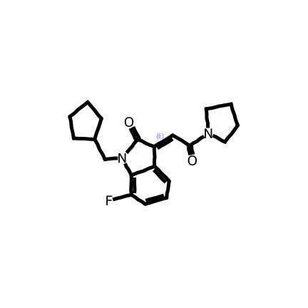 O=C(/C=C1/C(=O)N(CC2CCCC2)c2c(F)cccc21)N1CCCC1